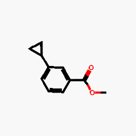 COC(=O)c1cccc(C2CC2)c1